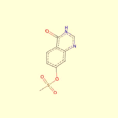 CS(=O)(=O)Oc1ccc2c(=O)[nH]cnc2c1